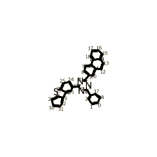 c1ccc(-c2nc(-c3ccc4c(ccc5ccccc54)c3)nc(-c3ccc4sc5ccccc5c4c3)n2)cc1